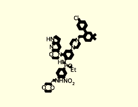 CCOP(Nc1ccc(N2CCN(CC3=C(c4ccc(Cl)cc4)CC(C)(C)CC3)CC2)cc1N1CCOc2nc3[nH]ccc3cc21)c1ccc(NC[C@H]2COCCO2)c([N+](=O)[O-])c1